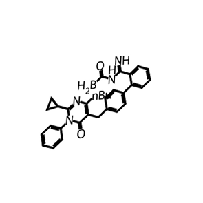 BC(=O)NC(=N)c1ccccc1-c1ccc(Cc2c(CCCC)nc(C3CC3)n(-c3ccccc3)c2=O)cc1